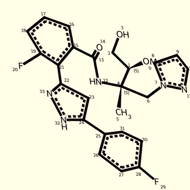 CO[C@H](CO)[C@](C)(Cn1cccn1)NC(=O)c1cccc(F)c1-c1cc(-c2ccc(F)cc2)[nH]n1